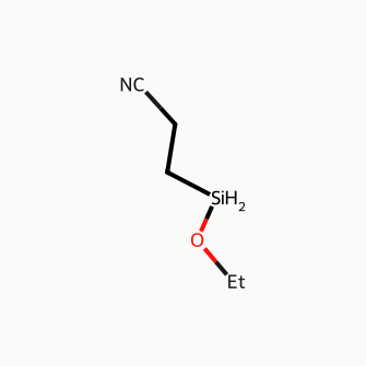 CCO[SiH2]CCC#N